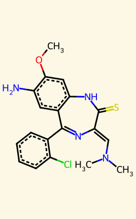 COc1cc2c(cc1N)C(c1ccccc1Cl)=N/C(=C\N(C)C)C(=S)N2